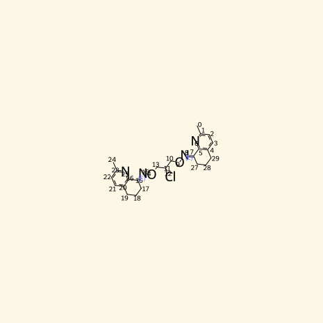 Cc1ccc2c(n1)/C(=N/OCC(Cl)CO/N=C1\CCCc3ccc(C)nc31)CCC2